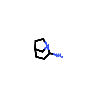 NC1CCC2CCN1C2